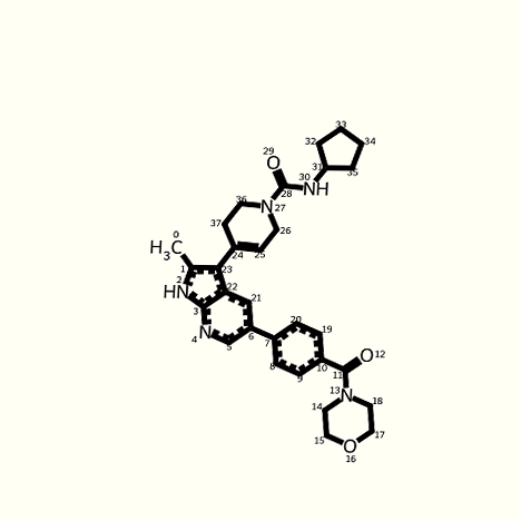 Cc1[nH]c2ncc(-c3ccc(C(=O)N4CCOCC4)cc3)cc2c1C1=CCN(C(=O)NC2CCCC2)CC1